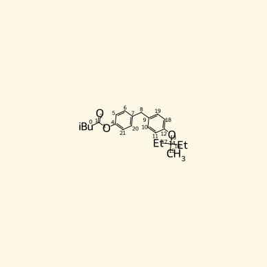 CCC(C)C(=O)Oc1ccc(Cc2ccc(OC(C)(CC)CC)cc2)cc1